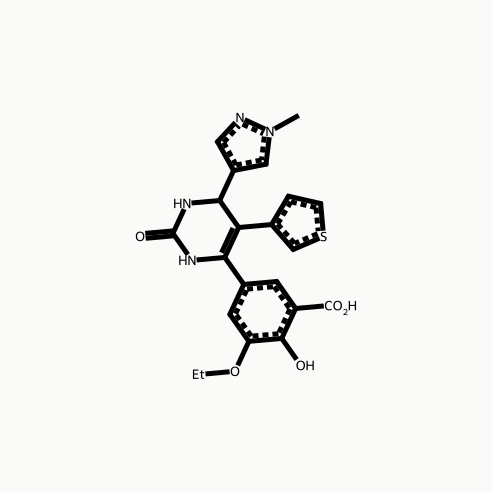 CCOc1cc(C2=C(c3ccsc3)C(c3cnn(C)c3)NC(=O)N2)cc(C(=O)O)c1O